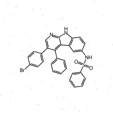 O=S(=O)(Nc1ccc2[nH]c3ncc(-c4ccc(Br)cc4)c(-c4ccccc4)c3c2c1)c1ccccc1